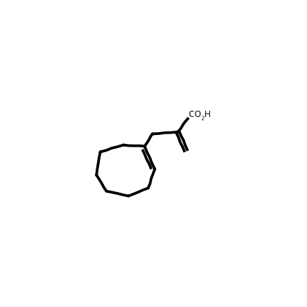 C=C(CC1=CCCCCCC1)C(=O)O